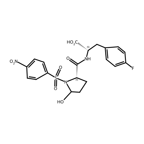 O=C(O)[C@H](Cc1ccc(F)cc1)NC(=O)[C@@H]1CCC(O)N1S(=O)(=O)c1ccc([N+](=O)[O-])cc1